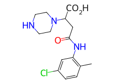 Cc1ccc(Cl)cc1NC(=O)CC(C(=O)O)N1CCNCC1